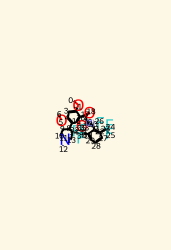 COc1cc(OC)c(C2CCN(C)CC2)c2c1C(=O)/C(=C/c1c(C(F)(F)F)cccc1C(F)(F)F)O2